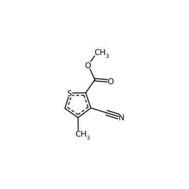 COC(=O)c1scc(C)c1C#N